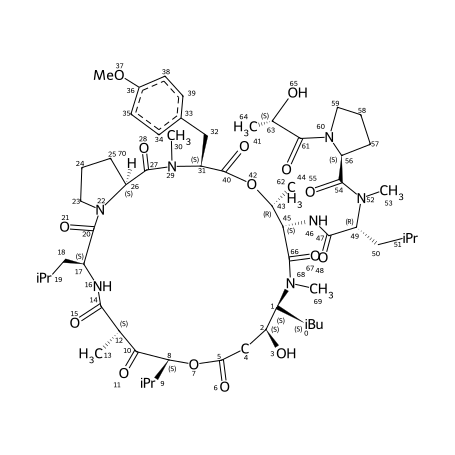 CC[C@H](C)[C@H]1[C@@H](O)CC(=O)O[C@@H](C(C)C)C(=O)[C@H](C)C(=O)N[C@@H](CC(C)C)C(=O)N2CCC[C@H]2C(=O)N(C)[C@@H](Cc2ccc(OC)cc2)C(=O)O[C@H](C)[C@H](NC(=O)[C@@H](CC(C)C)N(C)C(=O)[C@@H]2CCCN2C(=O)[C@H](C)O)C(=O)N1C